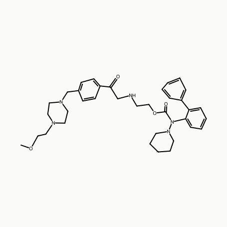 COCCN1CCN(Cc2ccc(C(=O)CNCCOC(=O)N(c3ccccc3-c3ccccc3)N3CC[CH]CC3)cc2)CC1